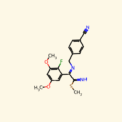 COc1cc(OC)c(F)c(/C(=N\Cc2ccc(C#N)cc2)C(=N)SC)c1